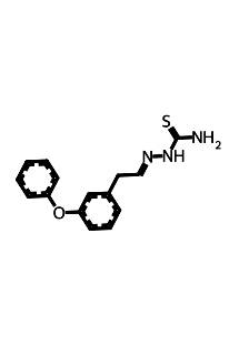 NC(=S)NN=CCc1cccc(Oc2ccccc2)c1